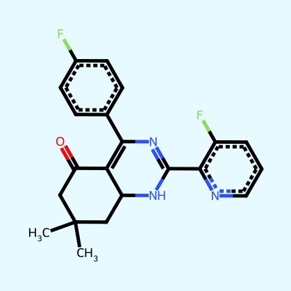 CC1(C)CC(=O)C2=C(c3ccc(F)cc3)N=C(c3ncccc3F)NC2C1